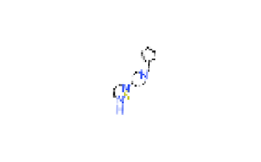 c1ccc(CN2CCC(N3CCCNS3)CC2)cc1